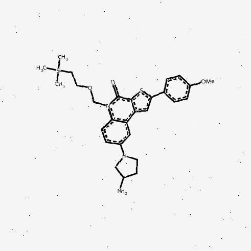 COc1ccc(-c2cc3c(s2)c(=O)n(COCC[Si](C)(C)C)c2ccc(N4CCC(N)C4)cc32)cc1